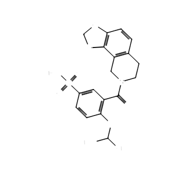 CC(C)Oc1ccc(S(C)(=O)=O)cc1C(=O)N1CCc2ccc3c(c2C1)OCO3